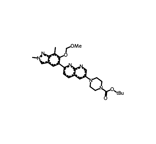 COCOc1c(-c2ccc3cc(N4CCN(C(=O)OC(C)(C)C)CC4)cnc3n2)cc2cn(C)nc2c1C